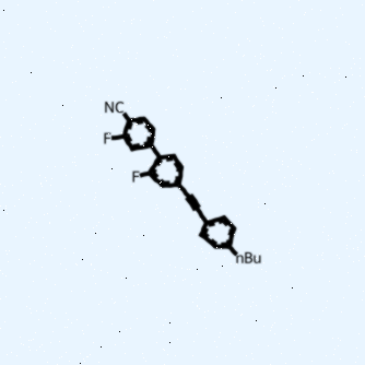 CCCCc1ccc(C#Cc2ccc(-c3ccc(C#N)c(F)c3)c(F)c2)cc1